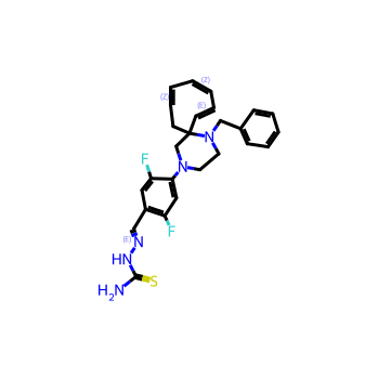 NC(=S)N/N=C/c1cc(F)c(N2CCN(Cc3ccccc3)C3(/C=C/C=C\C=C/C3)C2)cc1F